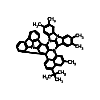 Cc1cc2c3c(ccc(C(C)(C)C)c3c1)-c1c3c(c4c5cccc6c7cccc8c1c4n(c78)c65)-n1c4cc(C)c(C)cc4n4c5cc(C)c(C)cc5c(c14)B32